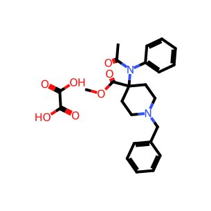 COC(=O)C1(N(C(C)=O)c2ccccc2)CCN(Cc2ccccc2)CC1.O=C(O)C(=O)O